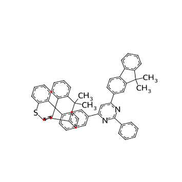 CC1(C)c2ccccc2-c2ccc(-c3cc(-c4ccc(-c5cccc6c5C5(c7ccccc7S6)c6ccccc6C(C)(C)c6ccccc65)cc4)nc(-c4ccccc4)n3)cc21